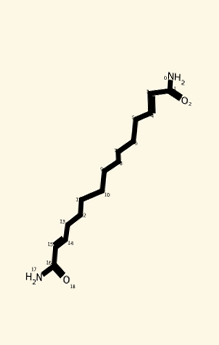 NC(=O)C=CCCCCCCCCCC=CC(N)=O